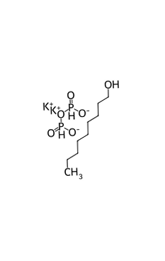 CCCCCCCCCO.O=[PH]([O-])O[PH](=O)[O-].[K+].[K+]